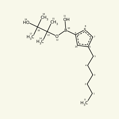 CCCCCCc1csc(B(O)OC(C)(C)C(C)(C)O)c1